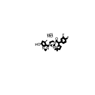 C[C@@H]1C[C@@H](O)c2ncnc(N3CCN(C(=O)C(c4ccc(F)c(F)c4)C4CCC(C)(C)N4)CC3)c21.Cl.Cl